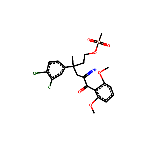 COc1cccc(OC)c1C(=O)C(=N)CC(C)(CCOS(C)(=O)=O)c1ccc(Cl)c(Cl)c1